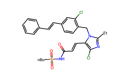 CCCCS(=O)(=O)NC(=O)/C=C/c1c(Cl)nc(CC)n1Cc1ccc(/C=C/c2ccccc2)cc1Cl